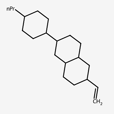 C=CC1CCC2CC(C3CCC(CCC)CC3)CCC2C1